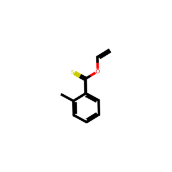 C=COC(=S)c1ccccc1C